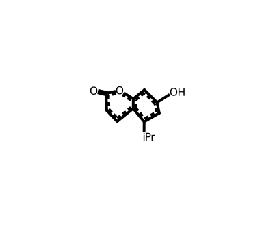 CC(C)c1cc(O)cc2oc(=O)ccc12